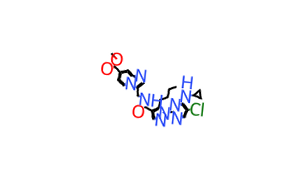 CCCCc1c(C(=O)NCc2cnc3cc(C(=O)OC)ccn23)cnn1-c1ncc(Cl)c(NC2CC2)n1